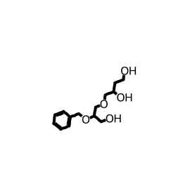 OCCC(O)COCC(CO)OCc1ccccc1